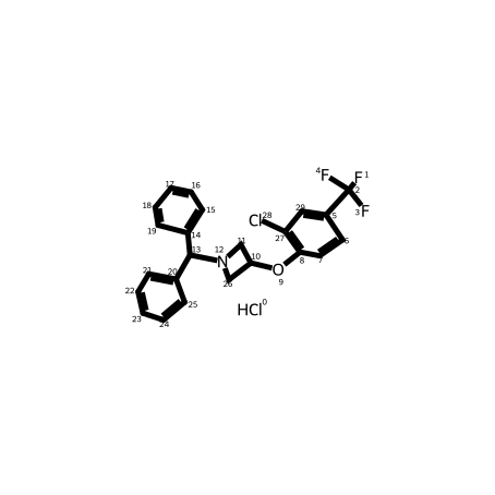 Cl.FC(F)(F)c1ccc(OC2CN(C(c3ccccc3)c3ccccc3)C2)c(Cl)c1